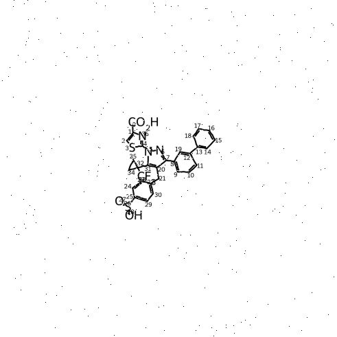 O=C(O)c1csc(-n2nc(-c3cccc(-c4ccccc4)c3)c(Cc3ccc(S(=O)O)cc3)c2C2(C(F)(F)F)CC2)n1